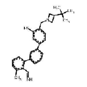 Cc1cccc(-c2cccc(-c3ccc(CN4CC(C(C)(C)C)C4)c(S)n3)c2)c1C=N